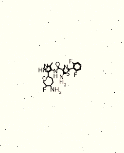 Cc1n[nH]c(C2CCC(N)C(F)CO2)c1NC(=O)c1nc(-c2c(F)cccc2F)sc1N